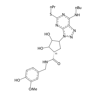 CCCCNc1nc(SCCC)nc2c1nnn2C1C[C@H](C(=O)NCc2ccc(O)c(OC)c2)C(O)C1O